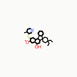 CCC1(CC)CCC2(CC1)c1ccccc1-c1c2cc(O)c2cc(OC)c(Sc3cnccc3C)cc12